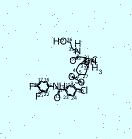 C[C@H]1CC2CC(S(=O)(=O)c3cc(C(=O)Nc4ccc(F)c(F)c4)ccc3Cl)CC1[C@@]2(O)CC(=O)NCCO